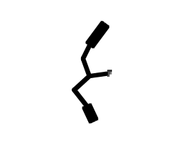 C#CCC(F)CC#C